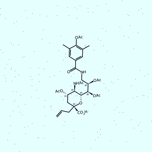 C=CC[C@]1(C(=O)O)C[C@H](OC(C)=O)[C@@H](NC(C)=O)[C@H]([C@H](OC(C)=O)[C@@H](CNC(=O)c2cc(C)c(OC(C)=O)c(C)c2)OC(C)=O)O1